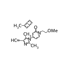 C#Cc1nc(C)n(-c2ccn(CCOC)c(=O)c2)c1C.Cc1cc2ccc1-2